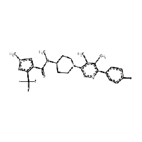 Cc1c(-c2ccc(F)cc2)nnc(N2CCC(N(C)C(=O)c3cn(C)nc3C(F)(F)F)CC2)c1C